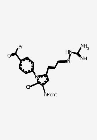 CCCCCc1cc(/C=C/C=N/NC(=N)N)n(-c2ccc(C(=O)C(C)C)cc2)c1Cl